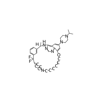 CC(C)N1CCN(c2cc3c4ncnc(c4c2)N[C@H](C)c2cccc(c2)C(F)(F)C2CCN(CCCCCCO3)CC2)CC1